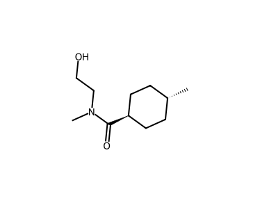 CN(CCO)C(=O)[C@H]1CC[C@H](C)CC1